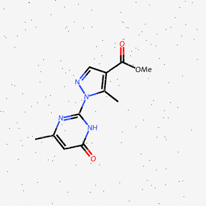 COC(=O)c1cnn(-c2nc(C)cc(=O)[nH]2)c1C